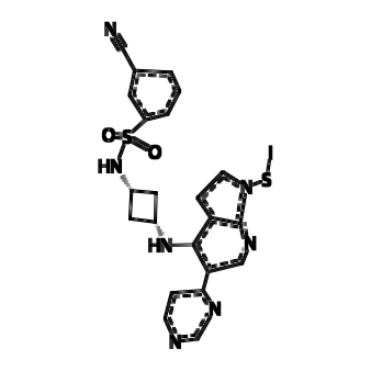 N#Cc1cccc(S(=O)(=O)N[C@H]2C[C@@H](Nc3c(-c4ccncn4)cnc4c3ccn4SI)C2)c1